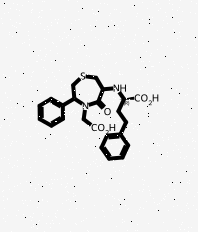 O=C(O)CN1C(=O)C(N[C@H](CCc2ccccc2)C(=O)O)CSCC1c1ccccc1